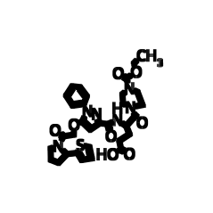 CCOC(=O)N1CCN(C(=O)C(CCC(=O)O)NC(=O)c2cc(OCC(=O)N3CCCC3c3cccs3)n(-c3ccccc3)n2)CC1